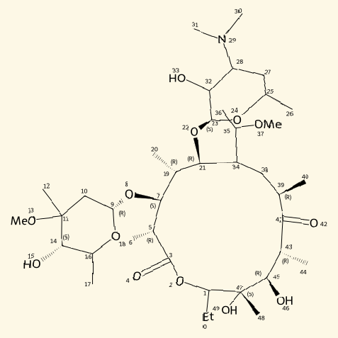 CCC1OC(=O)[C@H](C)[C@@H](O[C@H]2CC(C)(OC)[C@@H](O)C(C)O2)[C@H](C)[C@@H](O[C@@H]2OC(C)CC(N(C)C)C2O)C(C(C)OC)C[C@@H](C)C(=O)[C@H](C)[C@@H](O)[C@]1(C)O